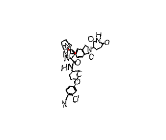 N#Cc1ccc(O[C@H]2CC[C@H](NC(=O)c3ccc(N4C5CCC4CN(Cc4ccc6c(c4)CN(C4CCC(=O)NC4=O)C6=O)C5)nn3)CC2)cc1Cl